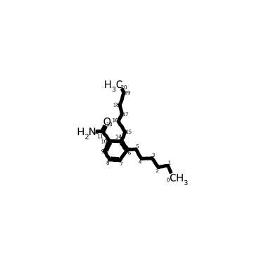 CCCCCCc1cccc(C(N)=O)c1CCCCCC